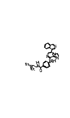 CCN(CC)CCNC(=O)c1ccc(Nc2ncc(-c3cncc4ccccc34)n3ccnc23)cc1